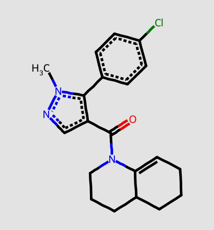 Cn1ncc(C(=O)N2CCCC3CCCC=C32)c1-c1ccc(Cl)cc1